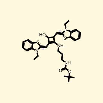 CCN1/C(=C/C2=C(NCCCNC(=O)OC(C)(C)C)C(/C=C3\Sc4ccccc4N3CC)C2O)Sc2ccccc21